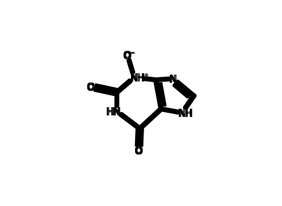 O=C1NC(=O)[NH+]([O-])c2nc[nH]c21